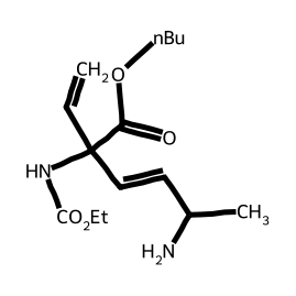 C=CC(C=CC(C)N)(NC(=O)OCC)C(=O)OCCCC